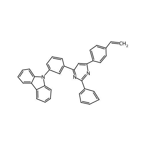 C=Cc1ccc(-c2cc(-c3cccc(-n4c5ccccc5c5ccccc54)c3)nc(-c3ccccc3)n2)cc1